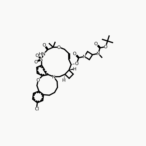 CN(C(=O)OC(C)(C)C)C1CN(C(=O)O[C@H]2/C=C/COC(C)(C)C(=O)NS(=O)(=O)c3ccc4c(c3)N(CCCCc3cc(Cl)ccc3CO4)C[C@@H]3CC[C@H]32)C1